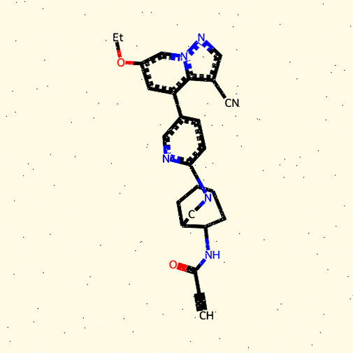 C#CC(=O)NC1CC2CCC1CN2c1ccc(-c2cc(OCC)cn3ncc(C#N)c23)cn1